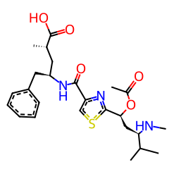 CN[C@H](C[C@H](OC(C)=O)c1nc(C(=O)N[C@@H](Cc2ccccc2)C[C@H](C)C(=O)O)cs1)C(C)C